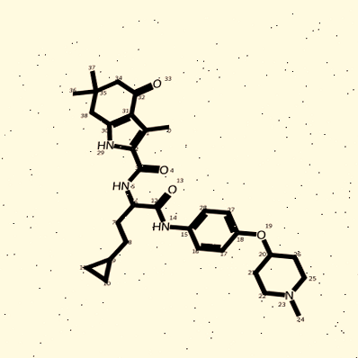 Cc1c(C(=O)NC(CCC2CC2)C(=O)Nc2ccc(OC3CCN(C)CC3)cc2)[nH]c2c1C(=O)CC(C)(C)C2